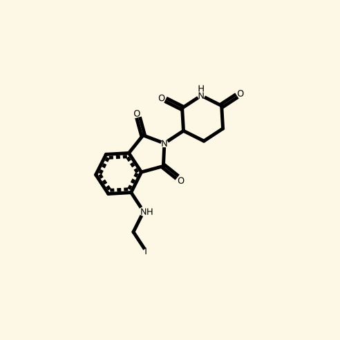 O=C1CCC(N2C(=O)c3cccc(NCI)c3C2=O)C(=O)N1